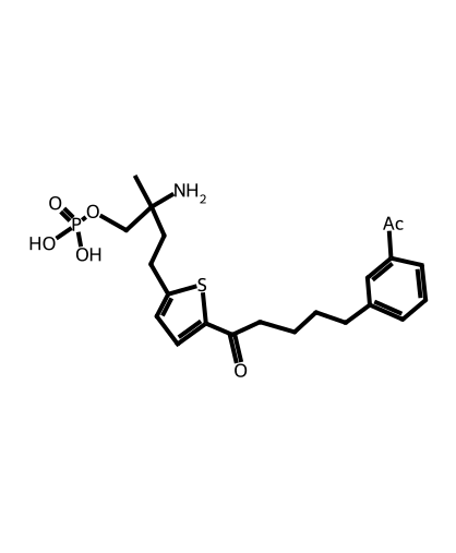 CC(=O)c1cccc(CCCCC(=O)c2ccc(CCC(C)(N)COP(=O)(O)O)s2)c1